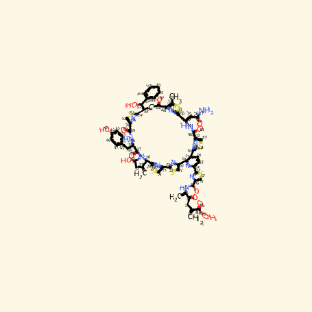 C=C(CC(=O)C(=C)NC(=O)c1csc(-c2ccc3c(n2)-c2csc(n2)-c2csc(n2)C2C(C)CC(O)N2C(=O)C(Cc2ccc(O)cc2)NC(=O)c2csc(n2)C(C(O)c2ccccc2)CC(=O)c2nc(sc2C)C(CC(N)=O)NC(=O)c2csc-3n2)n1)C(=O)O